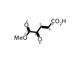 COC(=O)C(=O)C=CC(=O)O